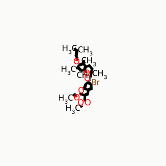 CCOC(=O)C(=Cc1ccc(OCC2(C)CCc3c(C)c(OCC=C(C)C)c(C)c(C)c3O2)c(Br)c1)C(=O)OCC